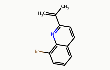 C=C(C)c1ccc2cccc(Br)c2n1